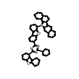 c1ccc(-c2nc(-c3ccc4c(c3)oc3c(-n5c6cc7ccccc7cc6c6ccc7ccccc7c65)cccc34)nc(-c3cccc4oc5ccccc5c34)n2)cc1